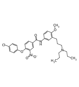 CCCN(CCC)CCCc1cc(NC(=O)c2ccc(Oc3ccc(Cl)cc3)c([N+](=O)[O-])c2)ccc1OC